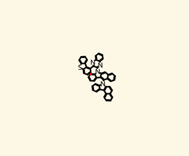 c1ccc2c(-n3c4ccccc4c4c5ccccc5ccc43)c3c4ccccc4n(-c4nc5ccccc5nc4-c4cccc5sc6ccccc6c45)c3cc2c1